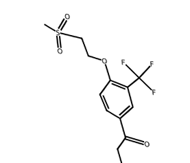 CCC(=O)c1ccc(OCCS(C)(=O)=O)c(C(F)(F)F)c1